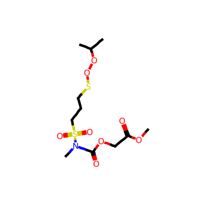 COC(=O)COC(=O)N(C)S(=O)(=O)CCCSOOC(C)C